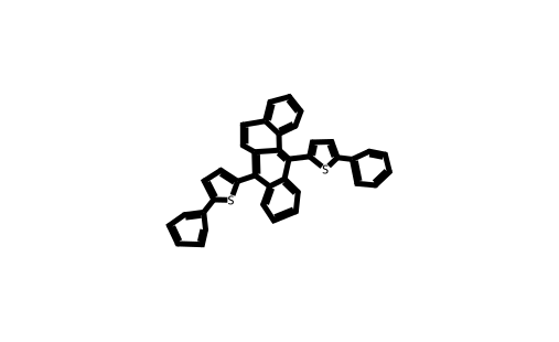 c1ccc(-c2ccc(-c3c4ccccc4c(-c4ccc(-c5ccccc5)s4)c4c3ccc3ccccc34)s2)cc1